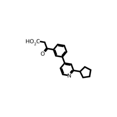 O=C(O)CC(=O)c1cccc(-c2ccnc(C3CCCC3)c2)c1